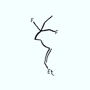 CC/C=C/CC(C)(F)F